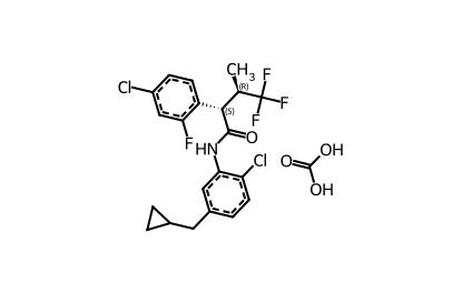 C[C@H]([C@H](C(=O)Nc1cc(CC2CC2)ccc1Cl)c1ccc(Cl)cc1F)C(F)(F)F.O=C(O)O